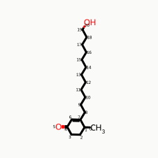 CC1CCC(=O)C=C1CCCCCCCCCCCCO